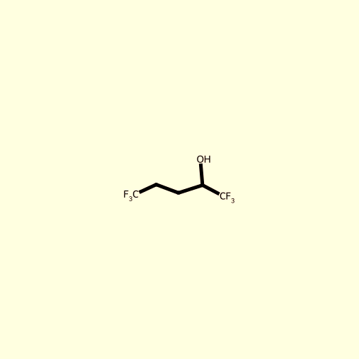 OC(CCC(F)(F)F)C(F)(F)F